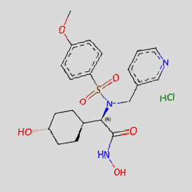 COc1ccc(S(=O)(=O)N(Cc2cccnc2)[C@@H](C(=O)NO)[C@H]2CC[C@H](O)CC2)cc1.Cl